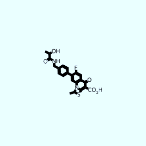 CC(O)C(=O)NCc1ccc(-c2cc3c(cc2F)c(=O)c(C(=O)O)c2n3C(C)S2)cc1